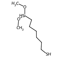 CO[SiH](CCCCCCS)OC